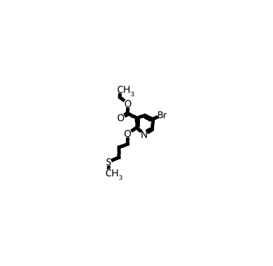 CCOC(=O)c1cc(Br)cnc1OCCCSC